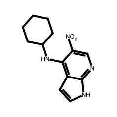 O=[N+]([O-])c1cnc2[nH]ccc2c1NC1CCCCC1